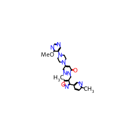 COc1ncncc1N1CCN(c2cnn(Cc3c(-c4ccc(C)nc4)noc3C)c(=O)c2)CC1